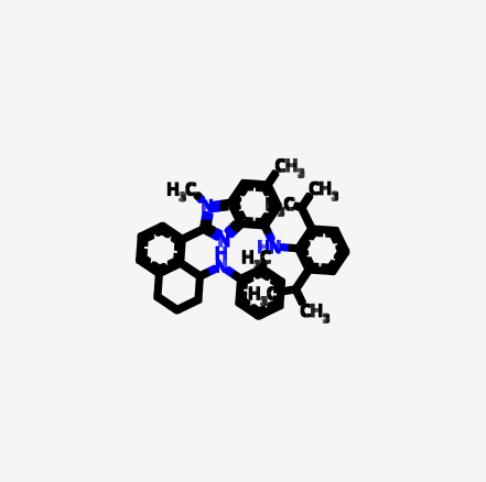 Cc1cc(Nc2c(C(C)C)cccc2C(C)C)c2nc(-c3cccc4c3C(Nc3ccccc3C)CCC4)n(C)c2c1